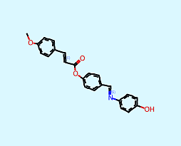 COc1ccc(/C=C/C(=O)Oc2ccc(/C=N/c3ccc(O)cc3)cc2)cc1